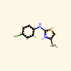 Bc1csc(Nc2ccc(F)cc2)n1